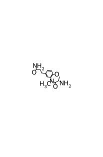 CN1C(=O)[C@@H](N)COc2ccc(CCC(N)=O)cc21